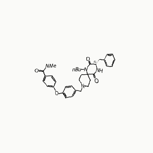 CCCCN1C(=O)[C@H](Cc2ccccc2)NC(=O)C12CCN(Cc1ccc(Oc3ccc(C(=O)NC)cc3)cc1)CC2